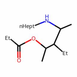 CCCCCCCNC(C)C(CC)C(C)OC(=O)CC